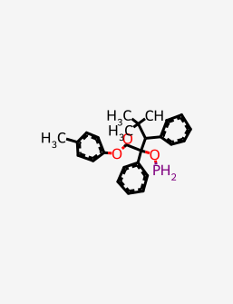 Cc1ccc(OC(=O)C(OP)(c2ccccc2)C(c2ccccc2)C(C)(C)C)cc1